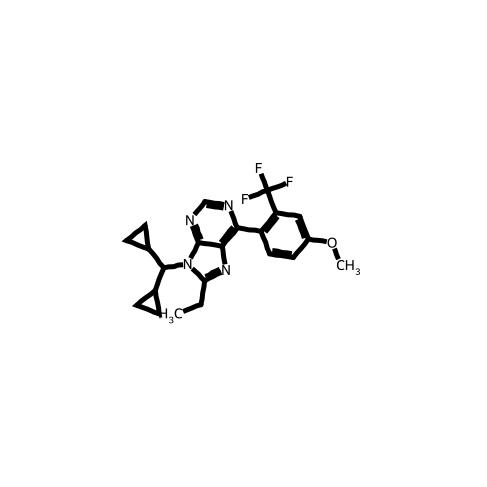 CCc1nc2c(-c3ccc(OC)cc3C(F)(F)F)ncnc2n1C(C1CC1)C1CC1